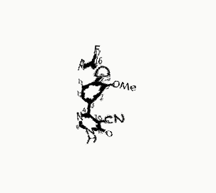 COc1cc(-c2nc[nH]c(=O)c2C#N)ccc1OC(F)F